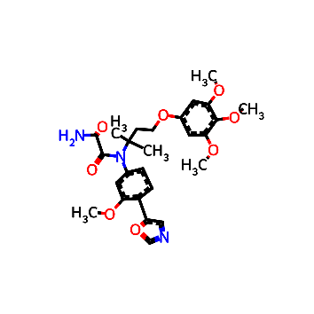 COc1cc(N(C(=O)C(N)=O)C(C)(C)CCOc2cc(OC)c(OC)c(OC)c2)ccc1-c1cnco1